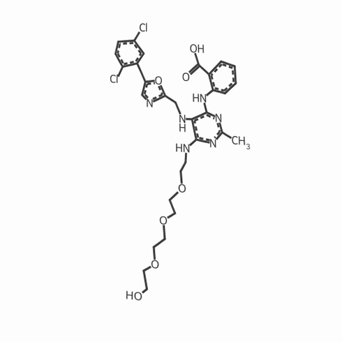 Cc1nc(NCCOCCOCCOCCO)c(NCc2ncc(-c3cc(Cl)ccc3Cl)o2)c(Nc2ccccc2C(=O)O)n1